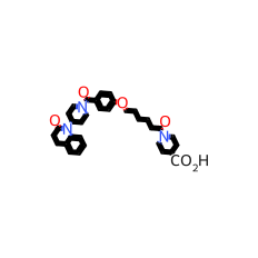 O=C(O)C1CCN(C(=O)CCCCCOc2ccc(C(=O)N3CCC(N4C(=O)CCc5ccccc54)CC3)cc2)CC1